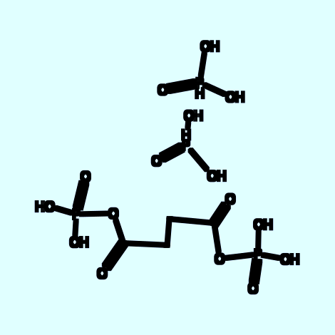 O=C(CCC(=O)OP(=O)(O)O)OP(=O)(O)O.O=[PH](O)O.O=[PH](O)O